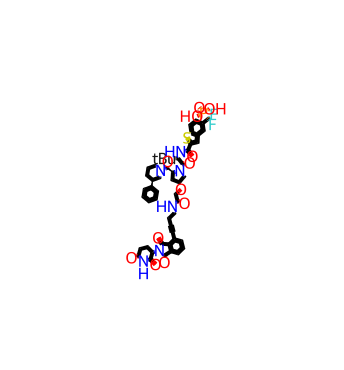 CC(C)(C)C(NC(=O)c1cc2cc(C(F)(F)P(=O)(O)O)ccc2s1)C(=O)N1C[C@@H](OCC(=O)NCCC#Cc2cccc3c2C(=O)N(C2CCC(=O)NC2=O)C3=O)C[C@H]1C(=O)N1CCC[C@H](c2ccccc2)C1